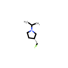 CC(C)N1CC[C@@H](CF)C1